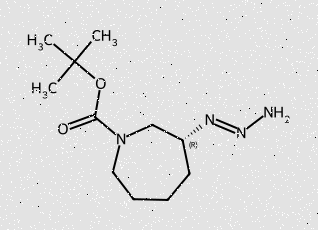 CC(C)(C)OC(=O)N1CCCC[C@@H](N=NN)C1